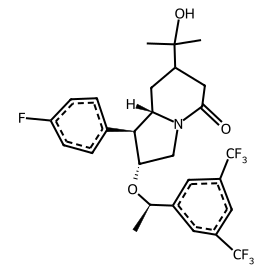 C[C@@H](O[C@H]1CN2C(=O)CC(C(C)(C)O)C[C@H]2[C@@H]1c1ccc(F)cc1)c1cc(C(F)(F)F)cc(C(F)(F)F)c1